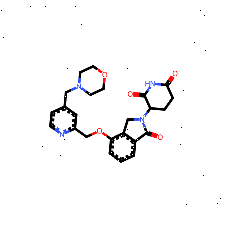 O=C1CCC(N2Cc3c(OCc4cc(CN5CCOCC5)ccn4)cccc3C2=O)C(=O)N1